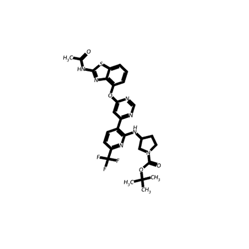 CC(=O)Nc1nc2c(Oc3cc(-c4ccc(C(F)(F)F)nc4NC4CCN(C(=O)OC(C)(C)C)C4)ncn3)cccc2s1